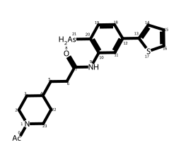 CC(=O)N1CCC(CCC(=O)Nc2cc(-c3cccs3)ccc2[AsH2])CC1